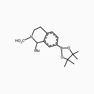 CC(C)(C)C1c2cc(B3OC(C)(C)C(C)(C)O3)ccc2CCN1C(=O)O